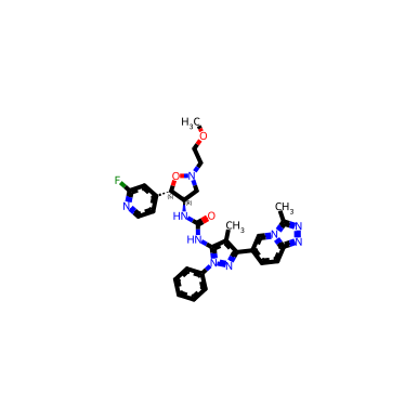 COCCN1C[C@@H](NC(=O)Nc2c(C)c(-c3ccc4nnc(C)n4c3)nn2-c2ccccc2)[C@H](c2ccnc(F)c2)O1